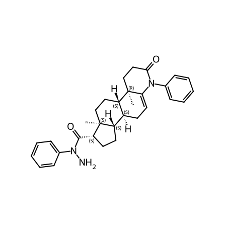 C[C@]12CC[C@H]3[C@@H](CC=C4N(c5ccccc5)C(=O)CC[C@@]43C)[C@@H]1CC[C@@H]2C(=O)N(N)c1ccccc1